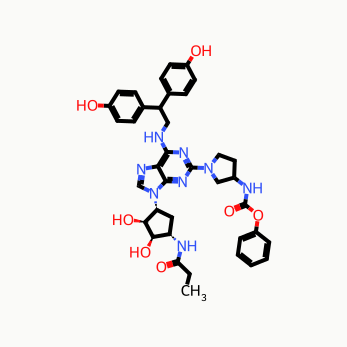 CCC(=O)N[C@H]1C[C@@H](n2cnc3c(NCC(c4ccc(O)cc4)c4ccc(O)cc4)nc(N4CCC(NC(=O)Oc5ccccc5)C4)nc32)[C@H](O)[C@@H]1O